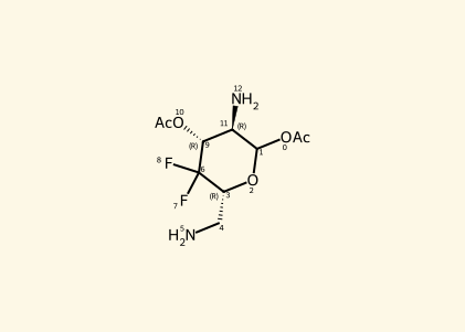 CC(=O)OC1O[C@H](CN)C(F)(F)[C@H](OC(C)=O)[C@H]1N